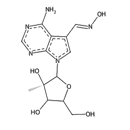 C[C@@]1(O)C(O)C(CO)OC1n1cc(/C=N/O)c2c(N)ncnc21